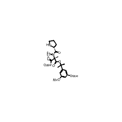 CCN(C(=O)[C@@H]1CCCN1)[C@@](C)(C(=O)OC)C(=O)OC(C)(C)c1cc(OC)cc(OC)c1